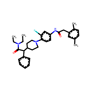 CCN(CC)C(=O)C(c1ccccc1)C1CCN(c2ccc(NC(=O)Cc3cc(C)ccc3C)cc2F)CC1